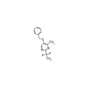 Cc1nc(C(C)(F)F)ncc1SCc1ccccc1